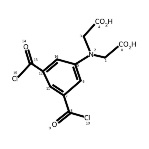 O=C(O)CN(CC(=O)O)c1cc(C(=O)Cl)cc(C(=O)Cl)c1